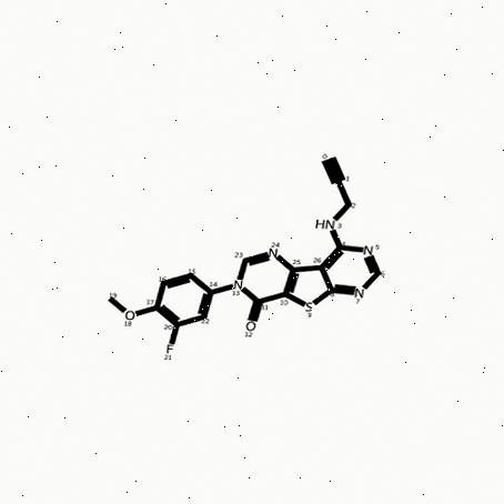 C#CCNc1ncnc2sc3c(=O)n(-c4ccc(OC)c(F)c4)cnc3c12